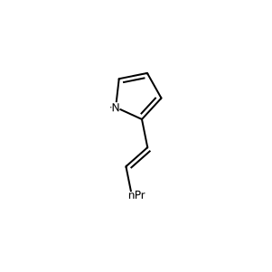 CCC/C=C/C1=CC=C[N]1